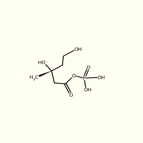 C[C@@](O)(CCO)CC(=O)OP(=O)(O)O